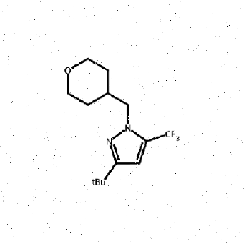 CC(C)(C)c1cc(C(F)(F)F)n(CC2CCOCC2)n1